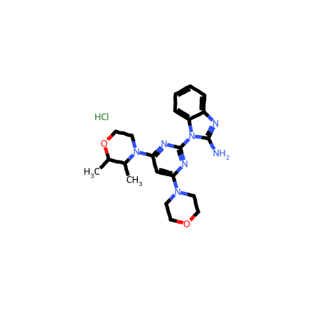 CC1OCCN(c2cc(N3CCOCC3)nc(-n3c(N)nc4ccccc43)n2)C1C.Cl